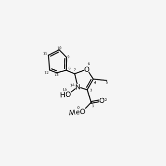 COC(=O)C1=C(C)OC(c2ccccc2)N1O